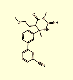 COCC[C@H]1C(=O)N(C)C(=N)N[C@]1(C)c1cccc(-c2cccc(C#N)c2)c1